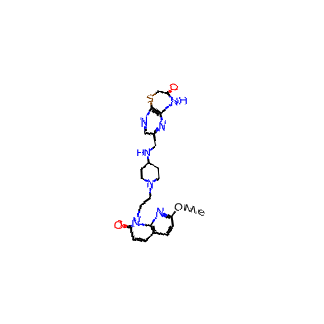 COc1ccc2ccc(=O)n(CCN3CCC(NCc4cnc5c(n4)NC(=O)CS5)CC3)c2n1